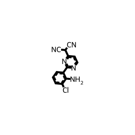 N#CC(C#N)c1ccnc(-c2cccc(Cl)c2N)n1